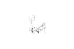 N#CCC(=O)NCCSc1nonc1/C(=N/O)Nc1ccc(F)c(Br)c1